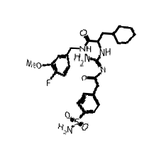 COc1cc(CNC(=O)C(CC2CCCCC2)NC(N)=NC(=O)Cc2ccc(S(N)(=O)=O)cc2)ccc1F